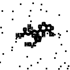 CCC1OCC(=O)C1NC(=O)C(CC(C)(C)CC(N)=O)n1ccc(C(=O)O)c1